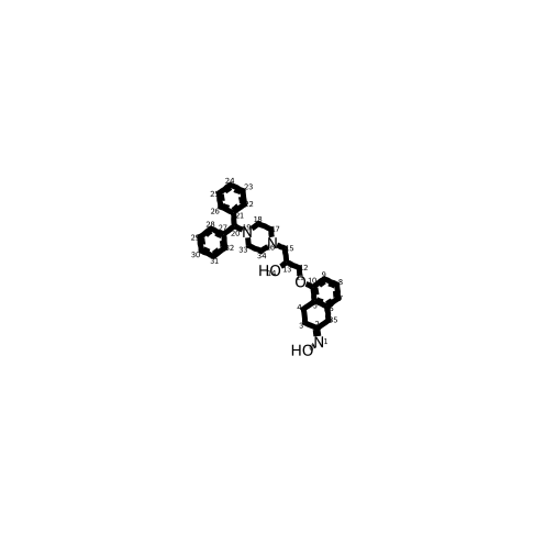 ON=C1CCc2c(cccc2OCC(O)CN2CCN(C(c3ccccc3)c3ccccc3)CC2)C1